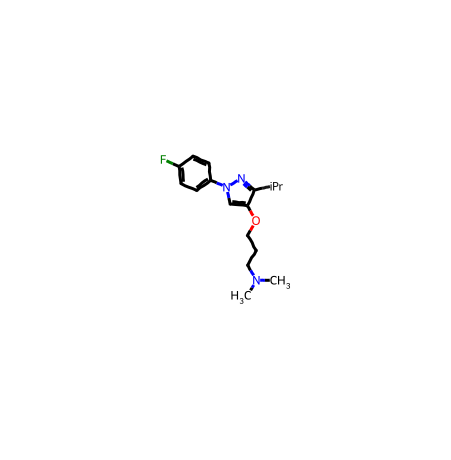 CC(C)c1nn(-c2ccc(F)cc2)cc1OCCCN(C)C